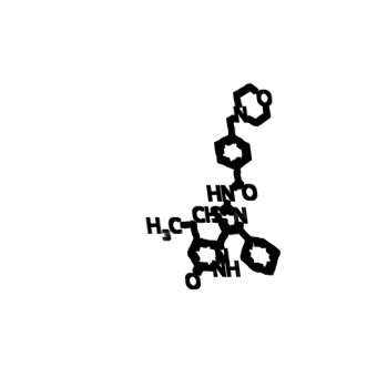 CC(C)c1cc(=O)[nH]nc1-c1sc(NC(=O)c2ccc(CN3CCOCC3)cc2)nc1-c1ccccc1